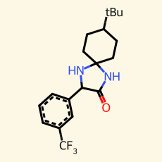 CC(C)(C)C1CCC2(CC1)NC(=O)C(c1cccc(C(F)(F)F)c1)N2